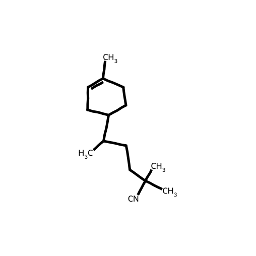 [C-]#[N+]C(C)(C)CCC(C)C1CC=C(C)CC1